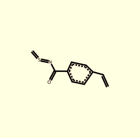 C=Cc1ccc(C(=O)N=S=C)cc1